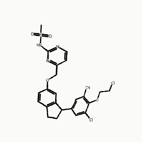 CS(=O)(=O)Nc1nccc(COc2ccc3c(c2)C(c2cc(Cl)c(OCCCl)c(C#N)c2)CC3)n1